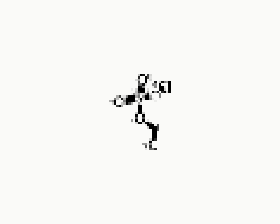 O=S(=O)(OCl)OCCl